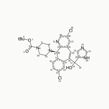 CC(C)(C)OC(=O)N1CCN([C@@H]2c3ccc(Cl)cc3C(C(C)(O)c3cnc[nH]3)=Cc3cc(Cl)cnc32)CC1